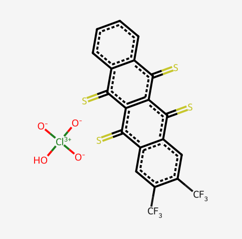 FC(F)(F)c1cc2c(=S)c3c(=S)c4ccccc4c(=S)c=3c(=S)c2cc1C(F)(F)F.[O-][Cl+3]([O-])([O-])O